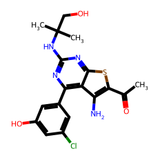 CC(=O)c1sc2nc(NC(C)(C)CO)nc(-c3cc(O)cc(Cl)c3)c2c1N